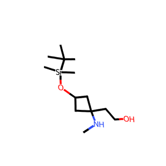 CNC1(CCO)CC(O[Si](C)(C)C(C)(C)C)C1